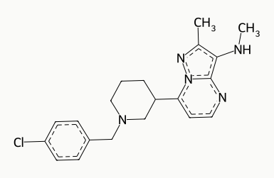 CNc1c(C)nn2c(C3CCCN(Cc4ccc(Cl)cc4)C3)ccnc12